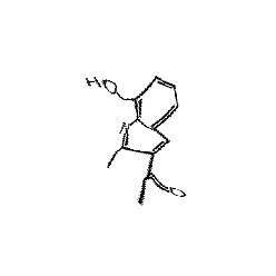 CC(=O)c1cc2cccc(O)c2nc1C